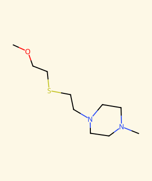 COCCSCCN1CCN(C)CC1